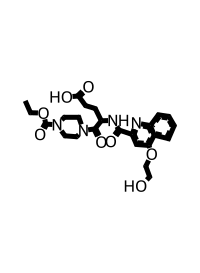 CCOC(=O)N1CCN(C(=O)C(CCC(=O)O)NC(=O)c2cc(OCCO)c3ccccc3n2)CC1